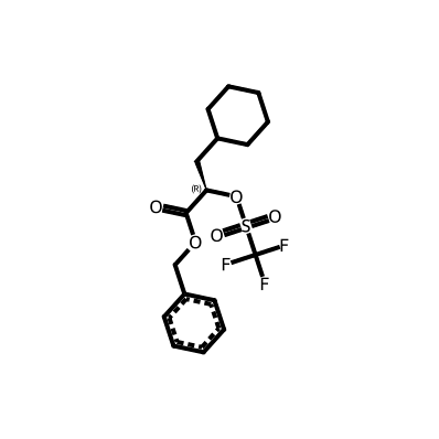 O=C(OCc1ccccc1)[C@@H](CC1CCCCC1)OS(=O)(=O)C(F)(F)F